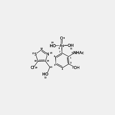 CC(=O)Nc1c(O)cccc1[As](=O)(O)O.OCc1ncsc1Cl